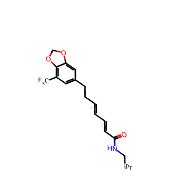 CC(C)CNC(=O)/C=C/C=C/CCc1cc2c(c(C(F)(F)F)c1)OCO2